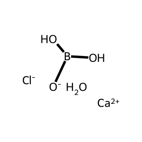 O.[Ca+2].[Cl-].[O-]B(O)O